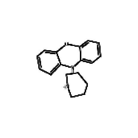 C1CCNCC1.c1ccc2c(c1)Nc1ccccc1O2